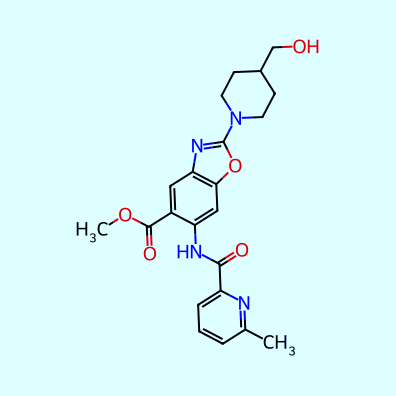 COC(=O)c1cc2nc(N3CCC(CO)CC3)oc2cc1NC(=O)c1cccc(C)n1